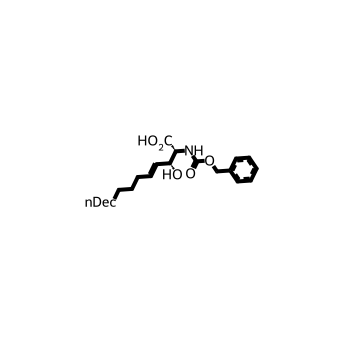 CCCCCCCCCCCCC/C=C/[C@@H](O)[C@@H](NC(=O)OCc1ccccc1)C(=O)O